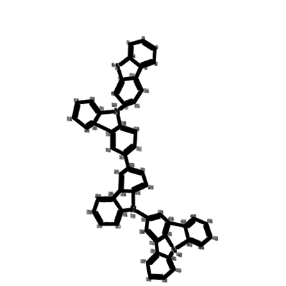 c1ccc2c(c1)sc1cc(-n3c4ccccc4c4cc(-c5ccc6c(c5)c5ccccc5n6-c5cc6c7ccccc7n7c8ccccc8c(c5)c67)ccc43)ccc12